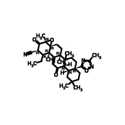 CC[C@H]1[C@H](C#N)C(=O)[C@@]2(C)O[C@]23CC[C@]2(C)C(=CC(=O)[C@@H]4[C@@H]5CC(C)(C)CC[C@]5(c5nc(C)no5)CC[C@]42C)[C@@]13C